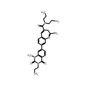 CCCN(CCC)C(=O)C1=Cc2ccc(-c3ccc4c(=O)n(CCC)c(=O)n(C)c4c3)cc2N=C(N)C1